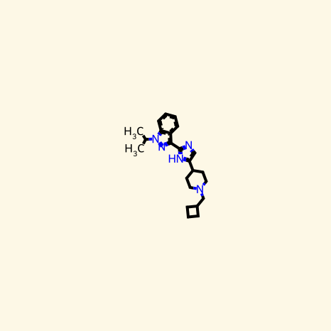 CC(C)n1nc(-c2ncc(C3CCN(CC4CCC4)CC3)[nH]2)c2ccccc21